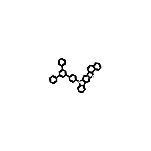 c1ccc(-c2cc(-c3ccccc3)cc(-c3ccc(-n4c5ccccc5c5cc6sc7c8ccccc8ccc7c6cc54)cc3)c2)cc1